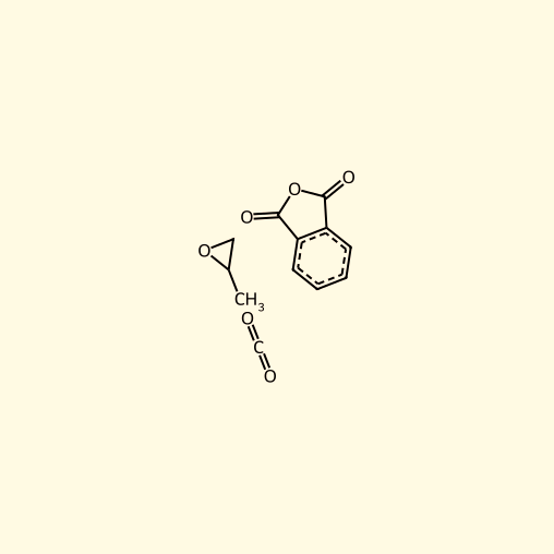 CC1CO1.O=C1OC(=O)c2ccccc21.O=C=O